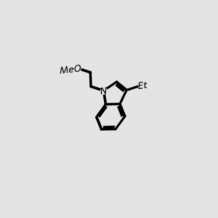 CCc1cn(CCOC)c2ccccc12